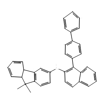 CC1(C)c2ccc(Nc3ccc4ccccc4c3-c3ccc(-c4ccccc4)cc3)cc2C2C=CC=CC21